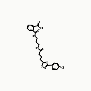 O=C(CCCc1nc(-c2ccc(Cl)cc2)no1)NCCCNc1n[nH]c(=O)c2ccccc12